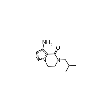 CC(C)CN1CCn2ncc(N)c2C1=O